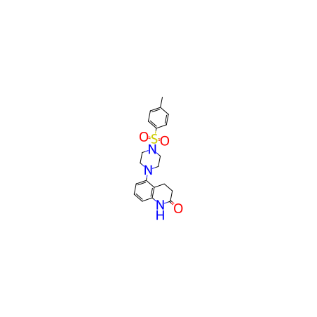 Cc1ccc(S(=O)(=O)N2CCN(c3cccc4c3CCC(=O)N4)CC2)cc1